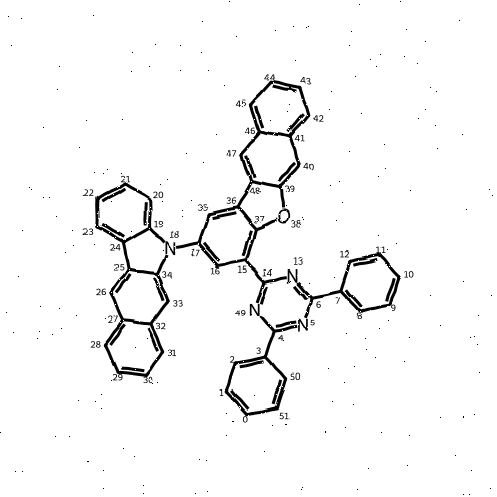 c1ccc(-c2nc(-c3ccccc3)nc(-c3cc(-n4c5ccccc5c5cc6ccccc6cc54)cc4c3oc3cc5ccccc5cc34)n2)cc1